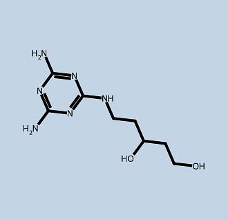 Nc1nc(N)nc(NCCC(O)CCO)n1